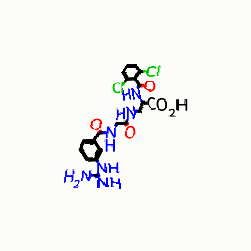 N=C(N)Nc1cccc(C(=O)NCC(=O)NCC(NC(=O)c2c(Cl)cccc2Cl)C(=O)O)c1